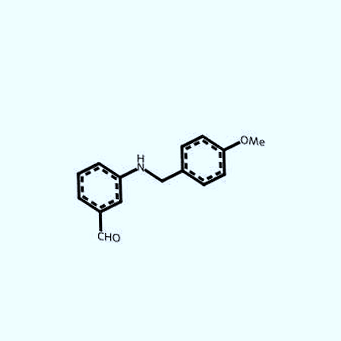 COc1ccc(CNc2cccc(C=O)c2)cc1